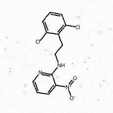 O=[N+]([O-])c1cccnc1NCCc1c(Cl)cccc1Cl